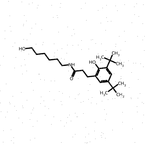 CC(C)(C)c1cc(CCC(=O)NCCCCCCO)c(O)c(C(C)(C)C)c1